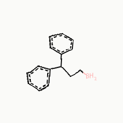 BCCC(c1ccccc1)c1ccccc1